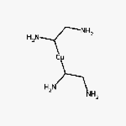 NC[CH](N)[Cu][CH](N)CN